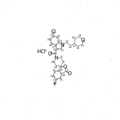 Cl.O=C1OC2(CCN(C(=O)c3cn(CCC4CCOCC4)c4cc(Cl)ccc34)CC2)c2ccc(F)cc21